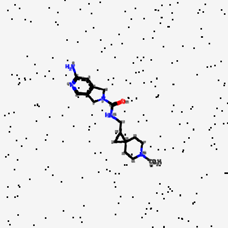 Nc1cc2c(cn1)CN(C(=O)NCC1CC13CCN(C(=O)O)CC3)C2